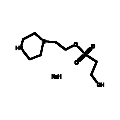 O=S(=O)(CCO)OCCN1CCNCC1.[NaH]